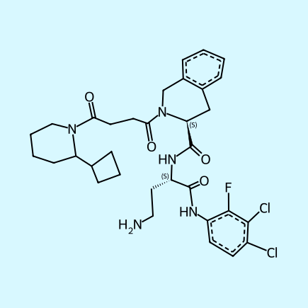 NCC[C@H](NC(=O)[C@@H]1Cc2ccccc2CN1C(=O)CCC(=O)N1CCCCC1C1CCC1)C(=O)Nc1ccc(Cl)c(Cl)c1F